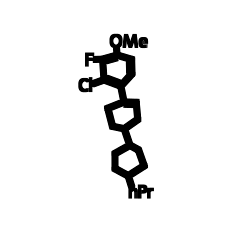 CCCC1CCC(C2CC=C(c3ccc(OC)c(F)c3Cl)CC2)CC1